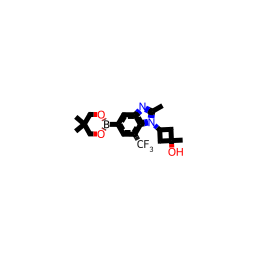 Cc1nc2cc(B3OCC(C)(C)CO3)cc(C(F)(F)F)c2n1C1CC(C)(O)C1